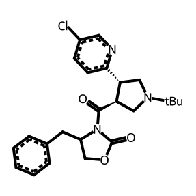 CC(C)(C)N1C[C@@H](C(=O)N2C(=O)OCC2Cc2ccccc2)[C@H](c2ccc(Cl)cn2)C1